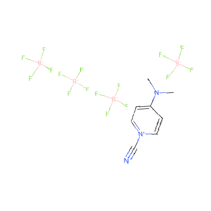 CN(C)c1cc[n+](C#N)cc1.F[B-](F)(F)F.F[B-](F)(F)F.F[B-](F)(F)F.F[B-](F)(F)F